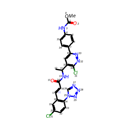 COC(=O)Nc1ccc(-c2cc(C(C)NC(=O)/C=C/c3cc(Cl)ccc3-n3cnnn3)c(Cl)nn2)cc1